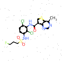 Cc1ncnc2c(C(=O)Nc3c(Cl)ccc(NS(=O)(=O)CCCF)c3Cl)csc12